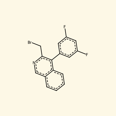 Fc1cc(F)cc(-c2c(CBr)ncc3ccccc23)c1